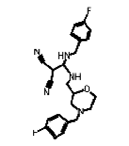 N#CC(C#N)C(NCc1ccc(F)cc1)NCC1CN(Cc2ccc(F)cc2)CCO1